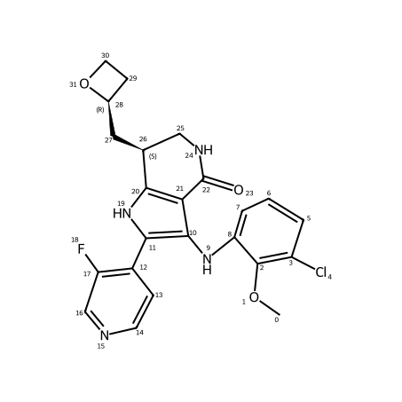 COc1c(Cl)cccc1Nc1c(-c2ccncc2F)[nH]c2c1C(=O)NC[C@@H]2C[C@@H]1CCO1